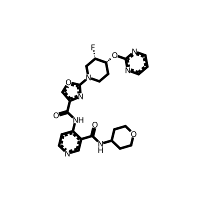 O=C(Nc1ccncc1C(=O)NC1CCOCC1)c1coc(N2CC[C@@H](Oc3ncccn3)[C@@H](F)C2)n1